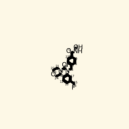 O=C(NO)c1ccc(CN(c2cccc(CF)c2)C(O)N2CCOCC2)cc1